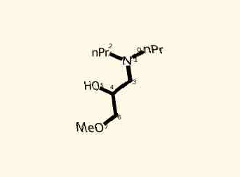 CCCN(CCC)CC(O)COC